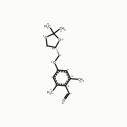 Cc1cc(OC[C@@H]2COC(C)(C)O2)cc(C)c1C=O